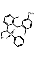 COc1ccc(Cl)c(Oc2c(C)ncnc2N(CC(C)C)S(=O)(=O)c2ccccc2)c1